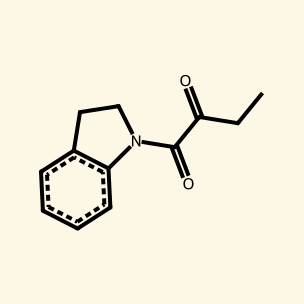 CCC(=O)C(=O)N1CCc2ccccc21